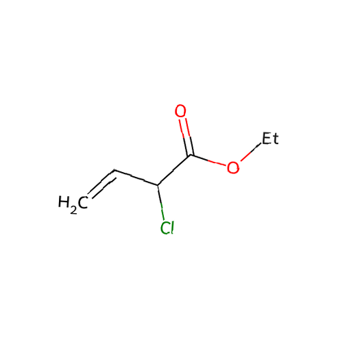 C=CC(Cl)C(=O)OCC